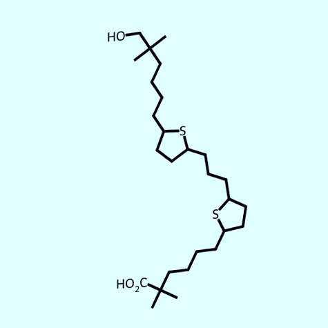 CC(C)(CO)CCCCC1CCC(CCCC2CCC(CCCCC(C)(C)C(=O)O)S2)S1